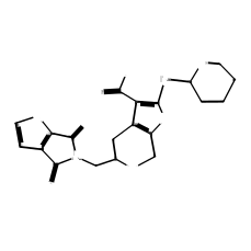 O=C(O)c1c(NC2CCCCO2)sc2c1CC(CN1C(=O)c3ccsc3C1=O)OC2